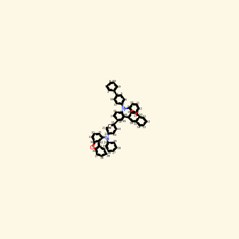 c1ccc(-c2ccc(N(c3ccccc3)c3ccc(-c4ccc(N(c5ccccc5)c5cccc6oc7ccccc7c56)cc4)cc3-c3ccc4ccccc4c3)cc2)cc1